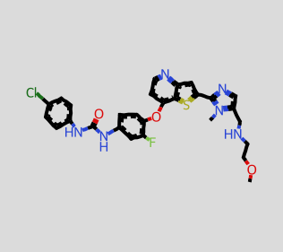 COCCNCc1cnc(-c2cc3nccc(Oc4ccc(NC(=O)Nc5ccc(Cl)cc5)cc4F)c3s2)n1C